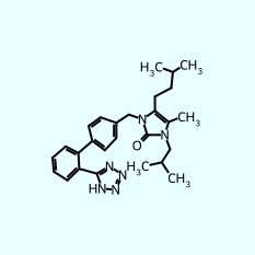 Cc1c(CCC(C)C)n(Cc2ccc(-c3ccccc3-c3nnn[nH]3)cc2)c(=O)n1CC(C)C